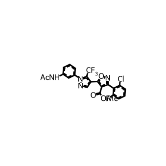 COC(=O)c1c(-c2c(F)cccc2Cl)noc1-c1cnn(-c2cccc(NC(C)=O)c2)c1C(F)(F)F